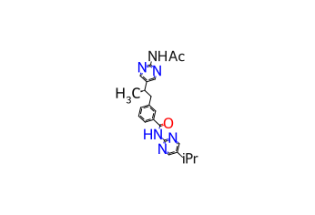 CC(=O)Nc1ncc([C@H](C)Cc2cccc(C(=O)Nc3ncc(C(C)C)cn3)c2)cn1